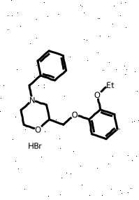 Br.CCOc1ccccc1OCC1CN(Cc2ccccc2)CCO1